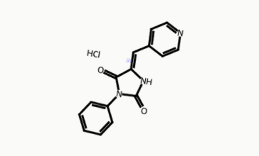 Cl.O=C1N/C(=C\c2ccncc2)C(=O)N1c1ccccc1